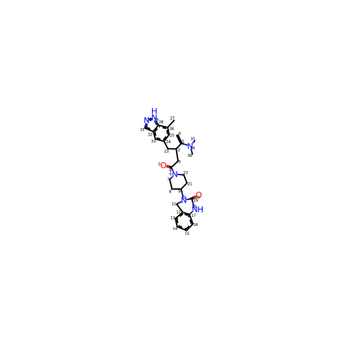 C=C(C(CC(=O)N1CCC(N2Cc3ccccc3NC2=O)CC1)Cc1cc(C)c2[nH]ncc2c1)N(C)C